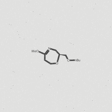 CCCCOC[C@@H]1CN=C(OC)CCO1